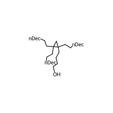 CCCCCCCCCCCCC1(CCCCO)CC1(CCCCCCCCCCCC)CCCCCCCCCCCC